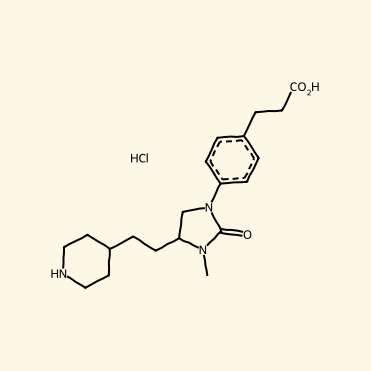 CN1C(=O)N(c2ccc(CCC(=O)O)cc2)CC1CCC1CCNCC1.Cl